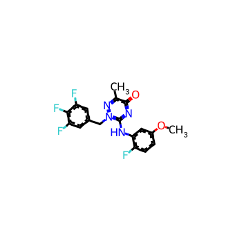 COc1ccc(F)c(Nc2nc(=O)c(C)nn2Cc2cc(F)c(F)c(F)c2)c1